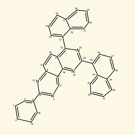 c1ccc(-c2ncc3c(ccc4c(-c5cccc6ccccc56)nc(-c5cccc6ccccc56)nc43)n2)cc1